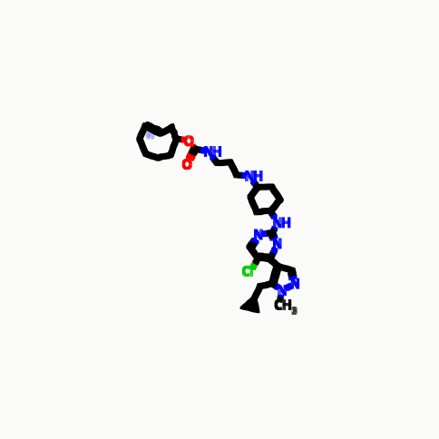 Cn1ncc(-c2nc(NC3CCC(NCCCNC(=O)OC4C/C=C/CCCC4)CC3)ncc2Cl)c1CC1CC1